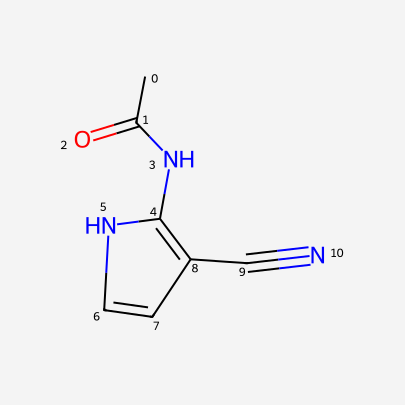 CC(=O)Nc1[nH]ccc1C#N